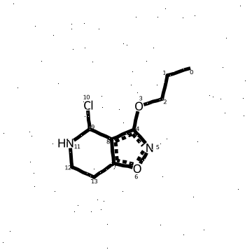 CCCOc1noc2c1C(Cl)NCC2